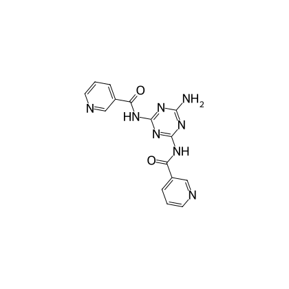 Nc1nc(NC(=O)c2cccnc2)nc(NC(=O)c2cccnc2)n1